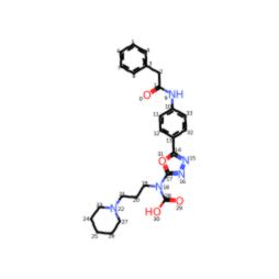 O=C(Cc1ccccc1)Nc1ccc(-c2nnc(N(CCCN3CCCCC3)C(=O)O)o2)cc1